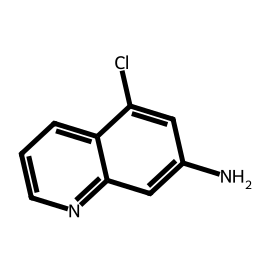 Nc1cc(Cl)c2cccnc2c1